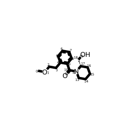 COCCc1ccccc1C(=O)N1CCCC[C@H]1CO